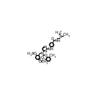 CCN(CC)CCNC(=O)c1ccc(Nc2nccc(N(Cc3cc(OC)ccc3OC)C(=O)Oc3c(C)cccc3C)n2)cc1